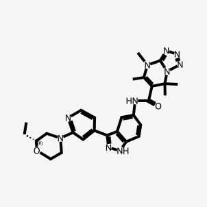 CC[C@@H]1CN(c2cc(-c3n[nH]c4ccc(NC(=O)C5=C(C)N(C)c6nnnn6C5(C)C)cc34)ccn2)CCO1